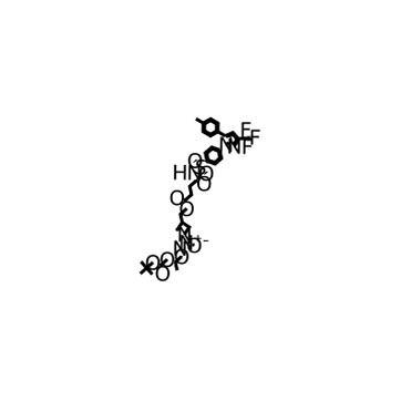 Cc1ccc(-c2cc(C(F)(F)F)nn2-c2ccc(S(=O)(=O)NC(=O)CCC(=O)OCC3CN([N+]([O-])=NOC(C)OC(=O)OC(C)(C)C)C3)cc2)cc1